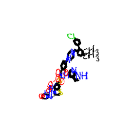 CC1(C)CCC(CN2CCN(c3ccc(C(=O)NS(=O)(=O)c4cc5c(c([N+](=O)[O-])c4)N[C@@H](CN4CCOCC4)CS5)c(Oc4cnc5[nH]ccc5c4)c3)CC2)=C(c2ccc(Cl)cc2)C1